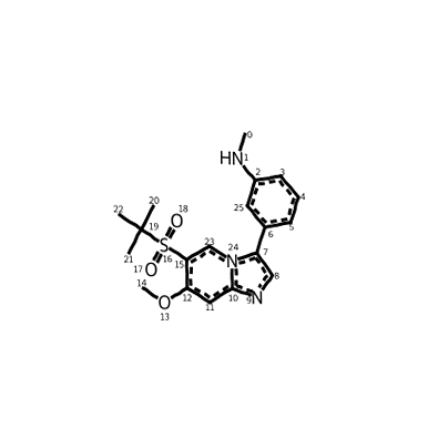 CNc1cccc(-c2cnc3cc(OC)c(S(=O)(=O)C(C)(C)C)cn23)c1